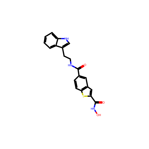 O=C(NCCc1c[nH]c2ccccc12)c1ccc2sc(C(=O)NO)cc2c1